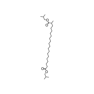 CC(C)COC(=O)CCCCCCCCCCCCCCCCCC(C)C(=O)OCC(C)C